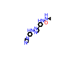 CN1CC2CC1CN2c1ccc(Nc2nccc(-c3ccc(NC(=O)NC4CC4)cc3)n2)cc1